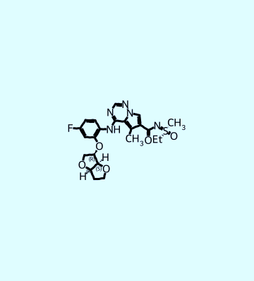 CCS(C)(=O)=NC(=O)c1cn2ncnc(Nc3ccc(F)cc3O[C@@H]3CO[C@@H]4CCO[C@@H]43)c2c1C